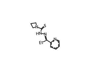 CC/C(=N\NC(=S)N1CCC1)c1ccccn1